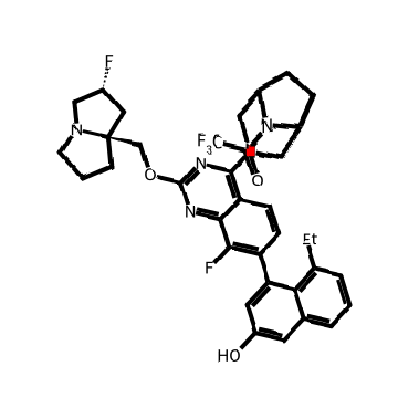 CCc1cccc2cc(O)cc(-c3ccc4c(N5CC6CCC(C5)N6C(=O)C(F)(F)F)nc(OC[C@@]56CCCN5C[C@H](F)C6)nc4c3F)c12